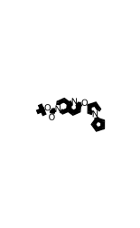 CC(C)(C)OC(=O)N1CCc2nc(O[C@H]3CCN(C4CCCC4)C3)ccc2C1